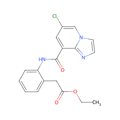 CCOC(=O)Cc1ccccc1NC(=O)c1cc(Cl)cn2ccnc12